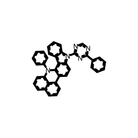 c1ccc(-c2ncnc(-n3c4ccccc4c4c5c(ccc43)-c3cccc4cccc(c34)N5c3ccccc3)n2)cc1